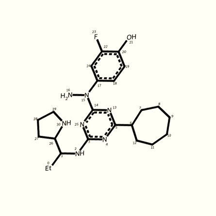 CCC(Nc1nc(C2CCCCCC2)nc(N(N)c2ccc(O)c(F)c2)n1)C1CCCN1